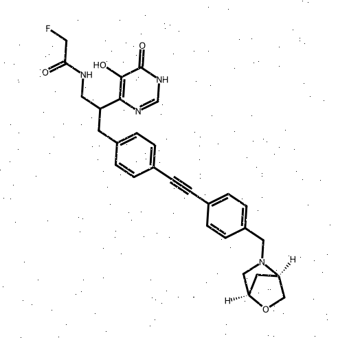 O=C(CF)NCC(Cc1ccc(C#Cc2ccc(CN3C[C@H]4C[C@@H]3CO4)cc2)cc1)c1nc[nH]c(=O)c1O